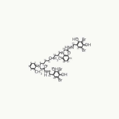 Cc1ccccc1N(CCCCOCCCCN(CC(=O)N/N=C/c1cc(Br)c(O)c(Br)c1O)c1ccccc1C)CC(=O)N/N=C/c1cc(Br)c(O)c(Br)c1O